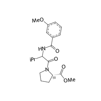 COC(=O)[C@@H]1CCCN1C(=O)C(NC(=O)c1cccc(OC)c1)C(C)C